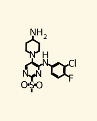 CS(=O)(=O)c1ncc(N2CCC(N)CC2)c(Nc2ccc(F)c(Cl)c2)n1